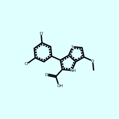 COc1csc2c(-c3cc(Cl)cc(Cl)c3)c(C(=O)O)[nH]c12